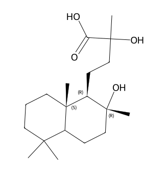 CC(O)(CC[C@@H]1[C@@]2(C)CCCC(C)(C)C2CC[C@@]1(C)O)C(=O)O